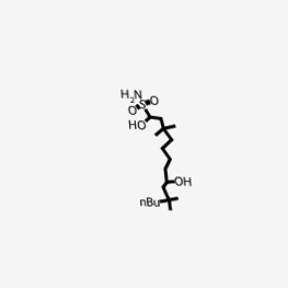 CCCCC(C)(C)CC(O)CCCCC(C)(C)CC(O)S(N)(=O)=O